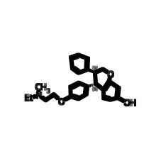 CCN(C)CCOc1ccc([C@H]2c3ccc(O)cc3OC[C@@H]2c2ccccc2)cc1